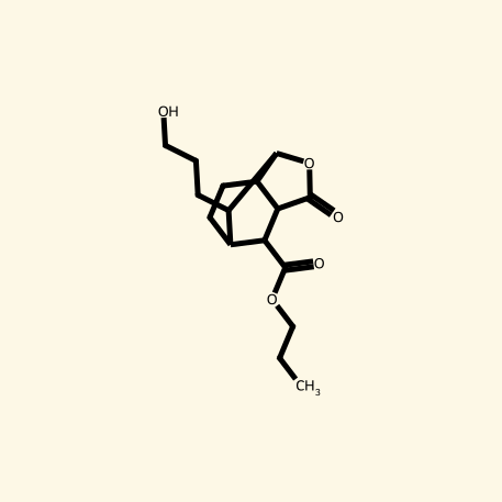 CCCOC(=O)C1C2CCC3C(OC(=O)C31)C2CCCO